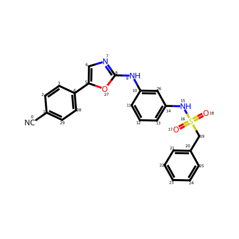 N#Cc1ccc(-c2cnc(Nc3cccc(NS(=O)(=O)Cc4ccccc4)c3)o2)cc1